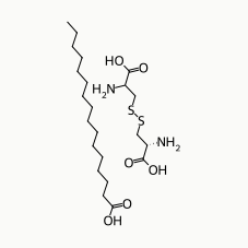 CCCCCCCCCCCCCCCC(=O)O.NC(CSSC[C@H](N)C(=O)O)C(=O)O